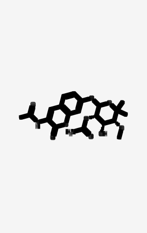 CO[C@@H]1[C@H](O)[C@H](OC(N)=O)C(Oc2ccc3cc(NC(C)=O)c(=O)oc3c2)OC1(C)C